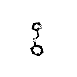 c1ccc(SCc2cccs2)cc1